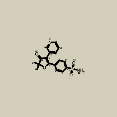 CC1(C)OC(c2ccc(S(N)(=O)=O)cc2)=C(c2cccnc2)C1=O